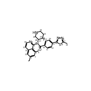 Cc1cc(C)c2c(N(C(=O)c3ccc(-c4nnc(C)s4)cc3F)[C@@H]3CCCNC3)nccc2c1